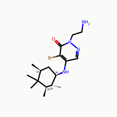 C[C@@H]1[C@@H](C)C(C)(C)[C@@H](C)C[C@H]1Nc1cnn(CCN)c(=O)c1Br